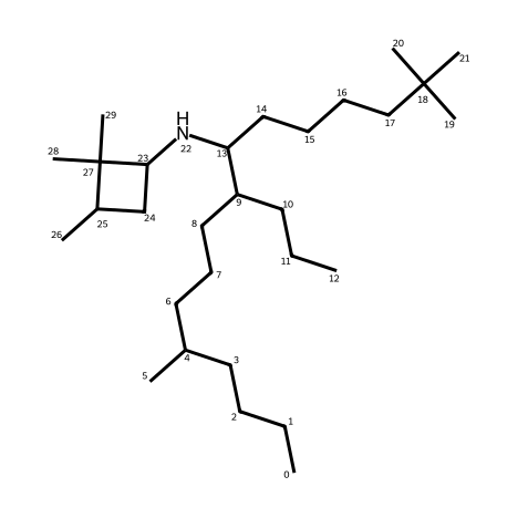 CCCCC(C)CCCC(CCC)C(CCCCC(C)(C)C)NC1CC(C)C1(C)C